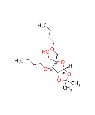 CCCCOC[C@@]1(CO)O[C@@H]2OC(C)(C)OC2[C@H]1OCCCC